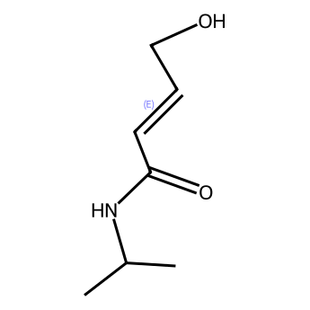 CC(C)NC(=O)/C=C/CO